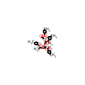 Cc1ccc(C(=O)OC(C)(C)COCC(C)(COCC(C)(COCC(C)(CO)OC(=O)c2ccc(C)cc2)OC(=O)c2ccc(C)cc2)OC(=O)c2ccc(C)cc2)cc1